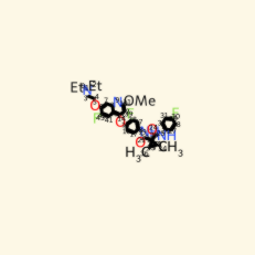 CCN(CC)CCOc1cc2nc(OC)cc(Oc3ccc(NC(=O)C4(C(=O)Nc5ccc(F)cc5)[C@H](C)[C@H]4C)cc3F)c2cc1F